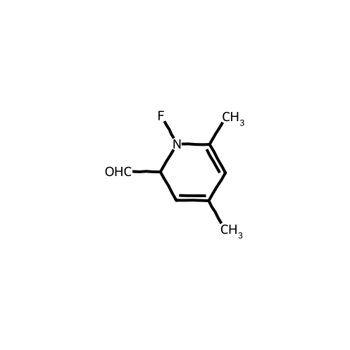 CC1=CC(C=O)N(F)C(C)=C1